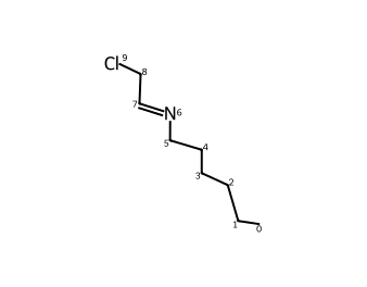 CCCCCCN=CCCl